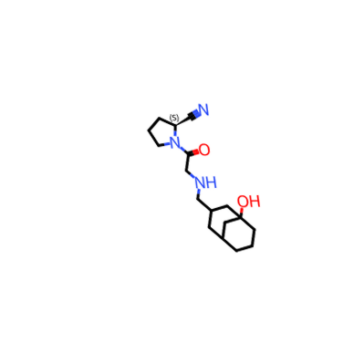 N#C[C@@H]1CCCN1C(=O)CNCC1CC2CCCC(O)(C2)C1